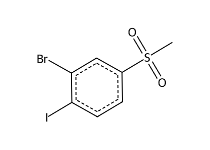 CS(=O)(=O)c1ccc(I)c(Br)c1